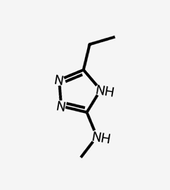 CCc1nnc(NC)[nH]1